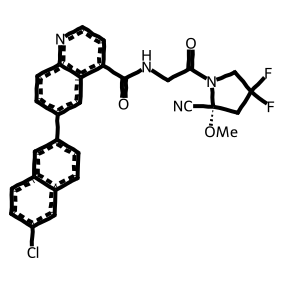 CO[C@@]1(C#N)CC(F)(F)CN1C(=O)CNC(=O)c1ccnc2ccc(-c3ccc4cc(Cl)ccc4c3)cc12